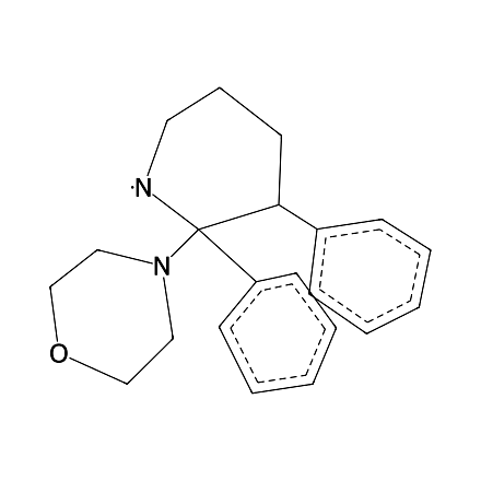 c1ccc(C2CCC[N]C2(c2ccccc2)N2CCOCC2)cc1